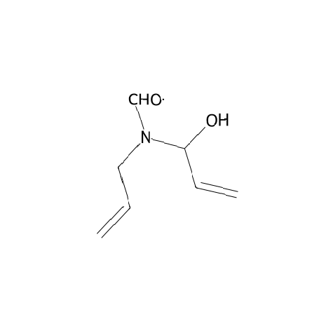 C=CCN([C]=O)C(O)C=C